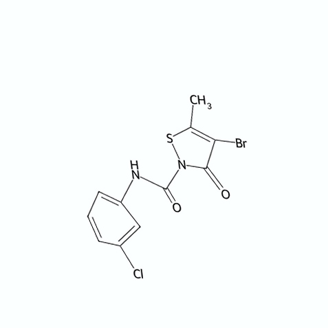 Cc1sn(C(=O)Nc2cccc(Cl)c2)c(=O)c1Br